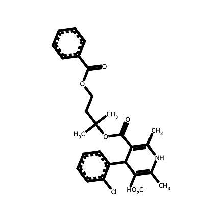 CC1=C(C(=O)O)C(c2ccccc2Cl)C(C(=O)OC(C)(C)CCOC(=O)c2ccccc2)=C(C)N1